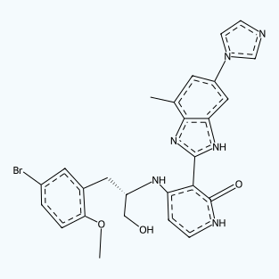 COc1ccc(Br)cc1C[C@@H](CO)Nc1cc[nH]c(=O)c1-c1nc2c(C)cc(-n3ccnc3)cc2[nH]1